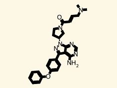 CN(C)CC=CC(=O)N1CC[C@@H](n2nc(-c3ccc(Oc4ccccc4)cc3)c3c(N)ncnc32)C1